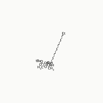 CCC=CCC=CCC=CCC=CCC=CCC=CCCC(=O)N[C@@H](C)C(=O)OC(C)C(C(=O)O)C(=O)OC(C)(C)C